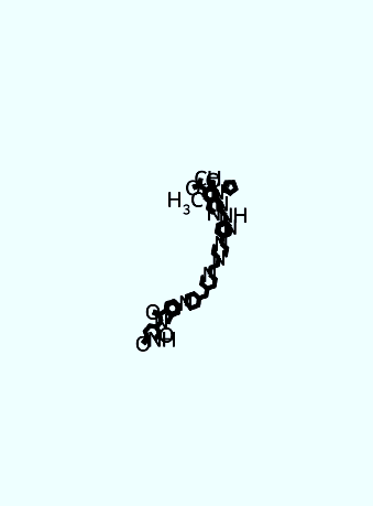 CC(=O)c1c(C)c2cnc(Nc3ccc(N4CCN(CCN5CCC(CC6CCN(c7ccc8c(c7)CN(C7CCC(=O)NC7=O)C8=O)CC6)CC5)CC4)cn3)nc2n(C2CCCC2)c1=O